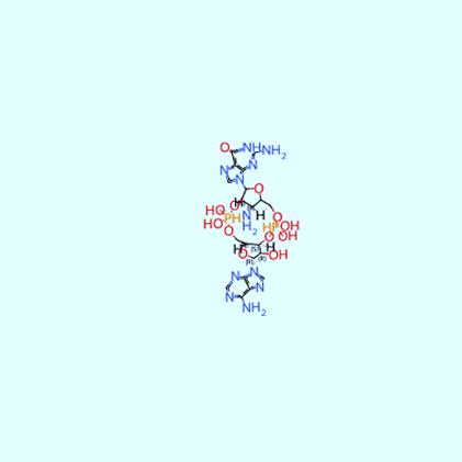 Nc1nc2c(ncn2C2OC3CO[PH](O)(O)O[C@H]4[C@@H](O)[C@H](n5cnc6c(N)ncnc65)O[C@@H]4CO[PH](O)(O)O[C@@H]2[C@@H]3N)c(=O)[nH]1